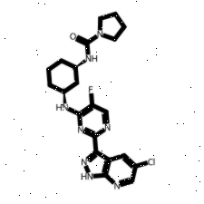 O=C(N[C@@H]1CCC[C@H](Nc2nc(-c3n[nH]c4ncc(Cl)cc34)ncc2F)C1)N1CCCC1